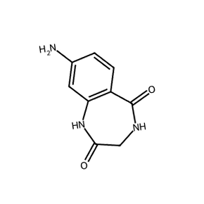 Nc1ccc2c(c1)NC(=O)CNC2=O